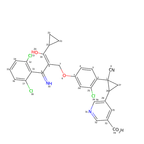 N#CC1(c2ccc(OC/C(C(=N)c3c(Cl)cccc3Cl)=C(/O)C3CC3)cc2Cl)CC1c1cncc(C(=O)O)c1